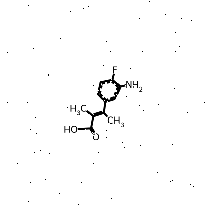 C/C(C(=O)O)=C(/C)c1ccc(F)c(N)c1